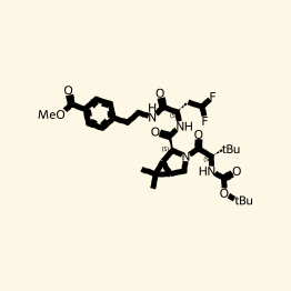 COC(=O)c1ccc(CCNC(=O)[C@H](CC(F)F)NC(=O)[C@@H]2C3C(CN2C(=O)[C@@H](NC(=O)OC(C)(C)C)C(C)(C)C)C3(C)C)cc1